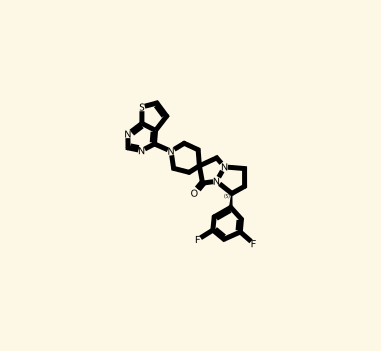 O=C1N2[C@H](c3cc(F)cc(F)c3)CCN2CC12CCN(c1ncnc3sccc13)CC2